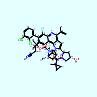 C=C(C)c1nc2c(F)c(-c3cccc(Cl)c3Cl)c(CCC#N)cc2c2c1cc([C@H]1C[C@H](O)CN1C(=O)C1(C)CC1)n2[C@H]1[C@@H]2C[C@H]1N(C(=O)OC(C)(C)C)C2